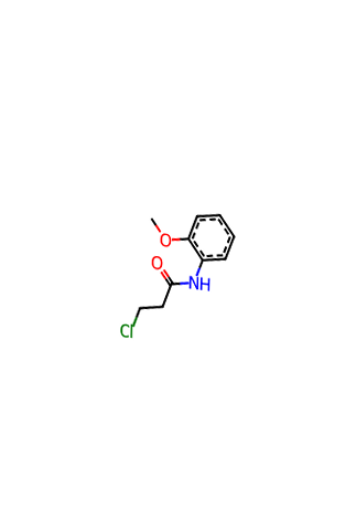 COc1ccccc1NC(=O)CCCl